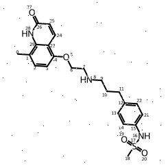 Cc1ccc(OCCNCCCc2ccc(NS(C)(=O)=O)cc2)c2ccc(=O)[nH]c12